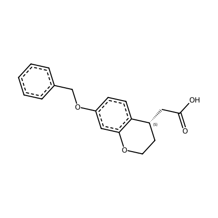 O=C(O)C[C@@H]1CCOc2cc(OCc3ccccc3)ccc21